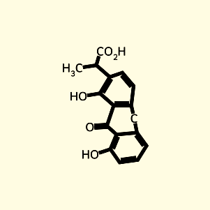 CC(C(=O)O)c1ccc2c(c1O)C(=O)c1c(O)cccc1C2